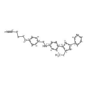 CCc1nc(-c2cccnc2)nn1-c1ccc(NCc2ccc(OCCCC#N)cc2)cc1